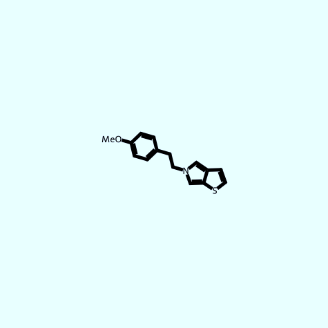 COc1ccc(CCn2cc3ccsc3c2)cc1